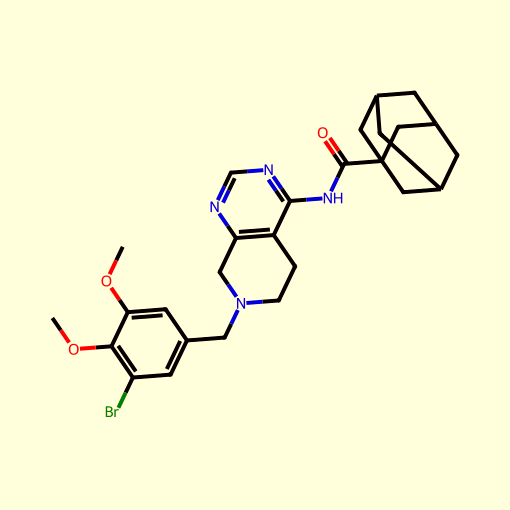 COc1cc(CN2CCc3c(ncnc3NC(=O)C34CC5CC(CC(C5)C3)C4)C2)cc(Br)c1OC